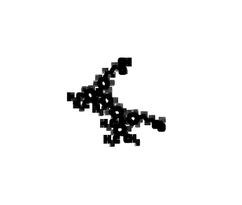 Cc1ccc(N(c2ccc(CCCOC=O)cc2)c2ccc(-c3ccc(N(c4ccc(CCCC(=O)O)cc4)c4ccc(C)c(C)c4)c(C)c3)cc2C)cc1C